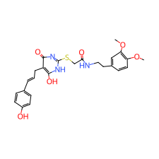 COc1ccc(CCNC(=O)CSc2nc(=O)c(C/C=C/c3ccc(O)cc3)c(O)[nH]2)cc1OC